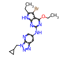 CCOc1nc(Nc2cnc3c(c2)nnn3CC2CC2)nc2[nH]c(CC)c(Br)c12